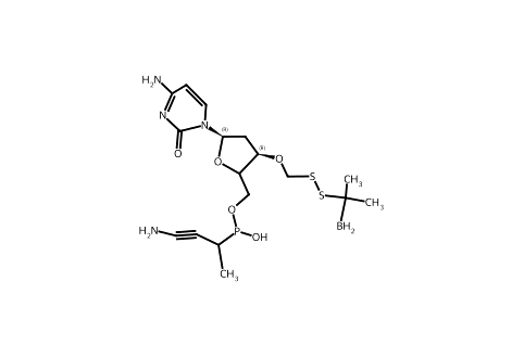 BC(C)(C)SSCO[C@@H]1C[C@H](n2ccc(N)nc2=O)OC1COP(O)C(C)C#CN